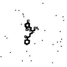 CCN(CCCC(=O)C1CCCCC1)CCc1cc(Cl)ccc1C